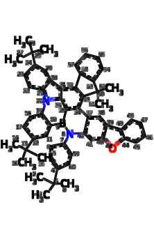 CC(C)(C)c1ccc(N2B3c4cc(C(C)(C)C)ccc4-n4c5ccc(C(C)(C)C)cc5c5c6c(c(c3c54)-c3cc4c(cc32)oc2ccccc24)C(C)(C)c2ccccc2-6)cc1